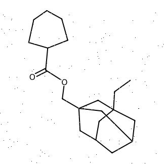 CCC12CC3CC(C1)CC(COC(=O)C1CCCCC1)(C3)C2